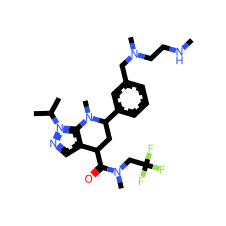 CNCCN(C)Cc1cccc(C2CC(C(=O)N(C)CC(F)(F)F)c3cnn(C(C)C)c3N2C)c1